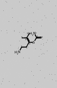 C=C(N)SC(CCN)=C(C)C